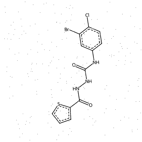 O=C(NNC(=O)c1cccs1)Nc1ccc(Cl)c(Br)c1